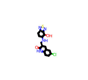 O=c1[nH]c2ccc(Cl)cc2cc1CNc1ccc2nsnc2c1O